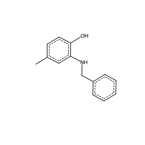 Cc1ccc(O)c(NCc2ccccc2)c1